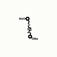 COc1cccc(CCOCc2csc(N(C)Cc3cccc(OC)c3)n2)c1